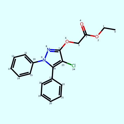 CCOC(=O)COc1nn(-c2ccccc2)c(-c2ccccc2)c1Cl